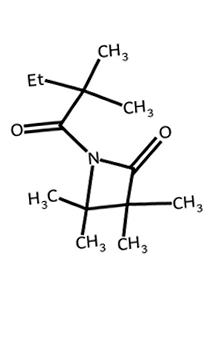 CCC(C)(C)C(=O)N1C(=O)C(C)(C)C1(C)C